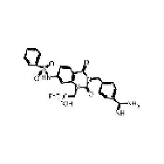 CCOC(=O)Cn1c(=O)n(Cc2ccc(C(=N)N)cc2)c(=O)c2ccc(NS(=O)(=O)c3ccccc3)cc21.Cl